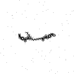 CCCCCC[C@H](C/C=C\CCCCCCCC(=O)OCC(=O)Oc1ccc(N=C=O)cc1)OC(=O)COC(=O)c1ccc(OC#N)cc1